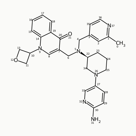 Cc1cc(CN(Cc2cn(C3COC3)c3ccccc3c2=O)[C@H]2CCCN(c3ccc(N)nc3)C2)ccn1